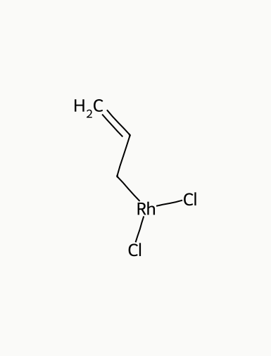 C=C[CH2][Rh]([Cl])[Cl]